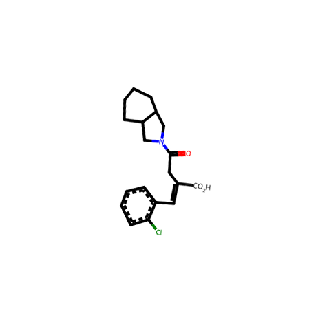 O=C(O)/C(=C/c1ccccc1Cl)CC(=O)N1CC2CCCCC2C1